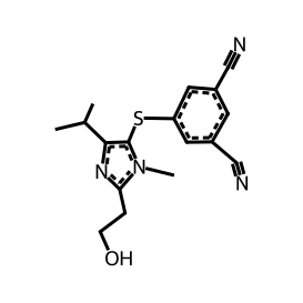 CC(C)c1nc(CCO)n(C)c1Sc1cc(C#N)cc(C#N)c1